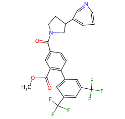 COC(=O)c1cc(C(=O)N2CCC(c3cccnc3)C2)ccc1-c1cc(C(F)(F)F)cc(C(F)(F)F)c1